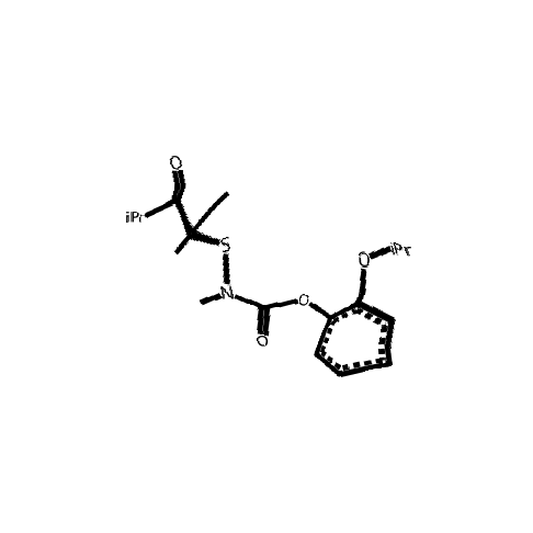 CC(C)Oc1ccccc1OC(=O)N(C)SC(C)(C)C(=O)C(C)C